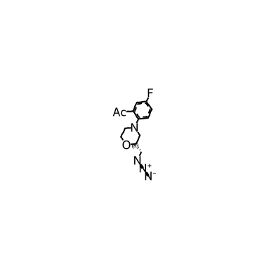 CC(=O)c1cc(F)ccc1N1CCO[C@@H](CN=[N+]=[N-])C1